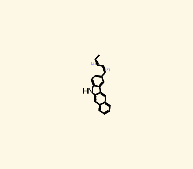 C/C=C\C=C/c1ccc2[nH]c3cc4ccccc4cc3c2c1